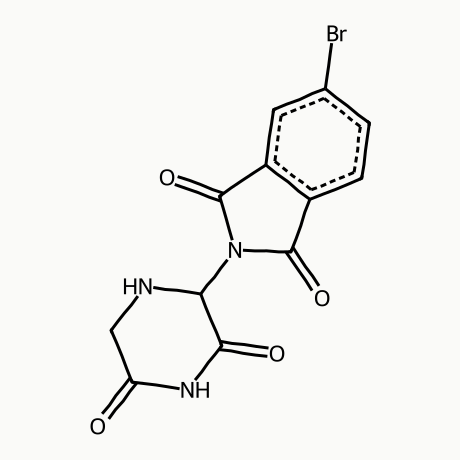 O=C1CNC(N2C(=O)c3ccc(Br)cc3C2=O)C(=O)N1